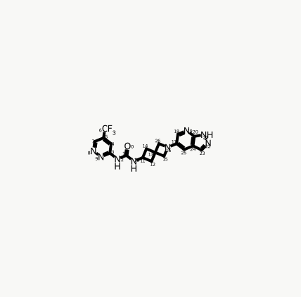 O=C(Nc1cc(C(F)(F)F)cnn1)NC1CC2(C1)CN(c1cnc3[nH]ncc3c1)C2